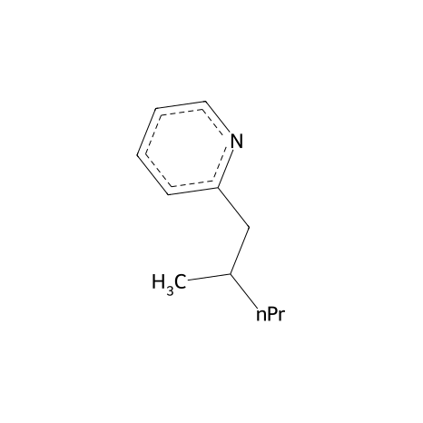 CCCC(C)Cc1ccccn1